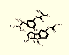 CCN(C)C(=O)Oc1cccc([C@H](C)N(C)C)c1.CNC(=O)Oc1ccc2c(c1)[C@]1(C)CCN(C)[C@@H]1N2C